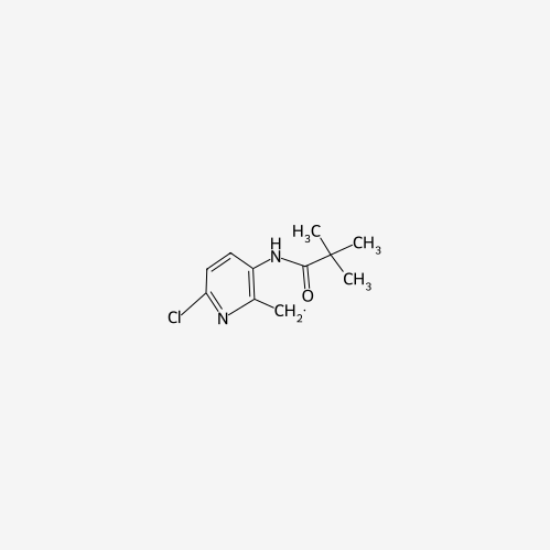 [CH2]c1nc(Cl)ccc1NC(=O)C(C)(C)C